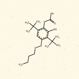 CCCCOOc1cc(C(C)(C)C)c(OC(=O)O)c(O)c1C(C)(C)C